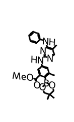 COC(=O)c1cc(Nc2ncc(C)c(Nc3ccccc3)n2)cc(C)c1B1OCC(C)(C)CO1